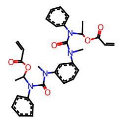 C=CC(=O)OC(C)N(C(=O)N(C)c1cccc(N(C)C(=O)N(c2ccccc2)C(C)OC(=O)C=C)c1)c1ccccc1